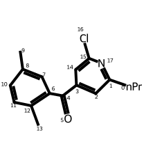 CCCc1cc(C(=O)c2cc(C)ccc2C)cc(Cl)n1